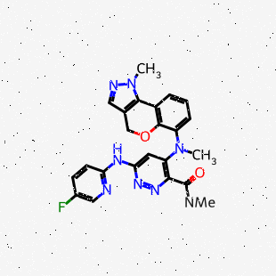 CNC(=O)c1nnc(Nc2ccc(F)cn2)cc1N(C)c1cccc2c1OCc1cnn(C)c1-2